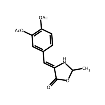 CC(=O)Oc1ccc(/C=C2\NC(C)OC2=O)cc1OC(C)=O